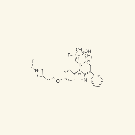 C[C@@H]1Cc2c([nH]c3ccccc23)[C@@H](c2ccc(OCCC3CN(CF)C3)cc2)N1C[C@@](C)(F)CO